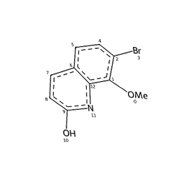 COc1c(Br)ccc2ccc(O)nc12